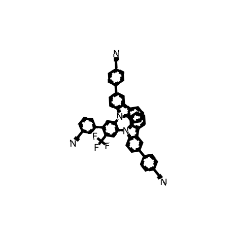 N#Cc1ccc(-c2ccc3c(c2)c2ccccc2n3-c2cc(-c3cccc(C#N)c3)c(C(F)(F)F)cc2-n2c3ccccc3c3cc(-c4ccc(C#N)cc4)ccc32)cc1